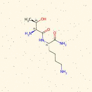 C[C@@H](O)[C@H](N)C(=O)N[C@@H](CCCCN)C(N)=O